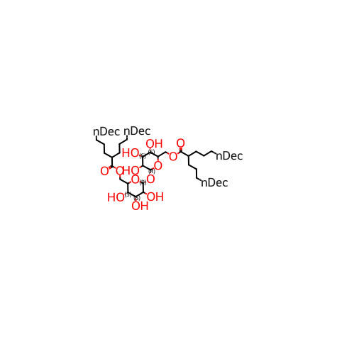 CCCCCCCCCCCCCC(CCCCCCCCCCCCC)C(=O)OCC1O[C@H](O[C@H]2OC(COC(=O)C(CCCCCCCCCCCCC)CCCCCCCCCCCCC)[C@@H](O)[C@H](O)C2O)C(O)[C@@H](O)[C@@H]1O